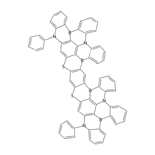 c1ccc(N2c3ccccc3B3c4ccccc4N4c5ccccc5B5c6cc7c(cc6Sc6cc2c3c4c65)Sc2cc3c4c5c2B7c2ccccc2N5c2ccccc2B4c2ccccc2N3c2ccccc2)cc1